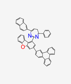 C1=C(c2ccc3ccccc3c2)N=C(c2cc(-c3ccc4c5ccccc5c5ccccc5c4c3)cc3oc4ccccc4c23)N=C(c2ccccc2)C1